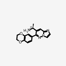 C[C@H](N)c1cc2nccn2nc1-c1ccc2c(c1)OCCO2